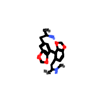 CNC(C)Cc1ccc2c(c1-c1cc(CC(C)N)cc3c1OCO3)OCO2